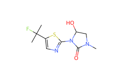 CN1CC(O)N(c2ncc(C(C)(C)F)s2)C1=O